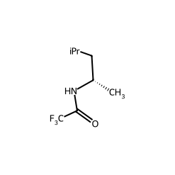 CC(C)C[C@H](C)NC(=O)C(F)(F)F